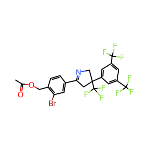 CC(=O)OCc1ccc(C2=NCC(c3cc(C(F)(F)F)cc(C(F)(F)F)c3)(C(F)(F)F)C2)cc1Br